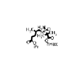 CCCCCCOC(=O)C(C)(C)P(N)(=O)NCC(C)CCC(=O)OC(C)C